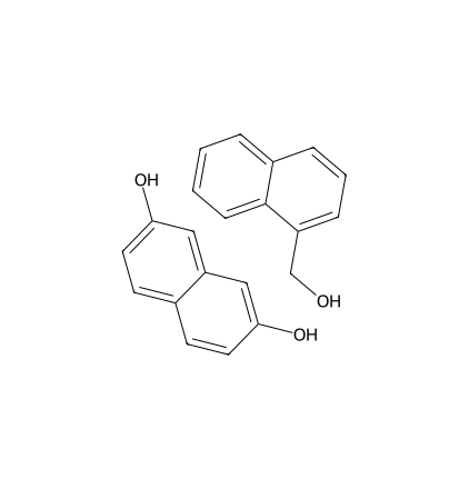 OCc1cccc2ccccc12.Oc1ccc2ccc(O)cc2c1